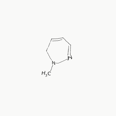 CN1CC=CC=N1